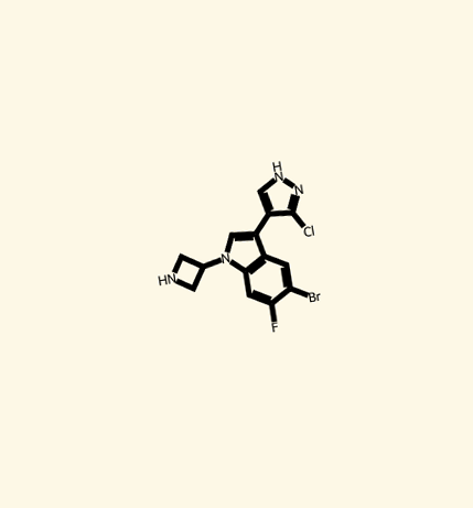 Fc1cc2c(cc1Br)c(-c1c[nH]nc1Cl)cn2C1CNC1